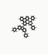 c1ccc(-c2ccc3c(c2)c2cc(-c4ccccc4)ccc2n3-c2cc(-c3nc(-c4ccccc4)nc(-c4ccccc4)n3)c3c4ccccc4c4ccccc4c3c2)cc1